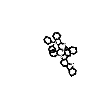 c1ccc(-c2nc(-c3ccccc3-n3c4ccccc4c4c5oc6ccccc6c5ccc43)c3c(n2)-c2ccccc2[Si]3(c2ccccc2)c2ccccc2)cc1